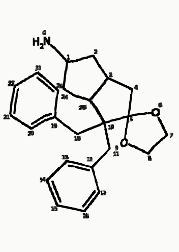 NC1CC2CC3(OCCO3)C(Cc3ccccc3)(Cc3ccccc3)C2C1